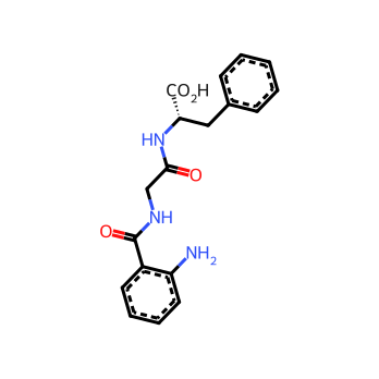 Nc1ccccc1C(=O)NCC(=O)N[C@@H](Cc1ccccc1)C(=O)O